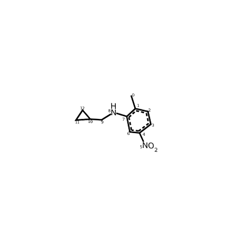 Cc1ccc([N+](=O)[O-])cc1NCC1CC1